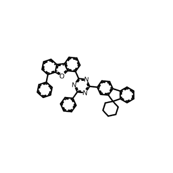 c1ccc(-c2nc(-c3ccc4c(c3)C3(CCCCC3)c3ccccc3-4)nc(-c3cccc4c3oc3c(-c5ccccc5)cccc34)n2)cc1